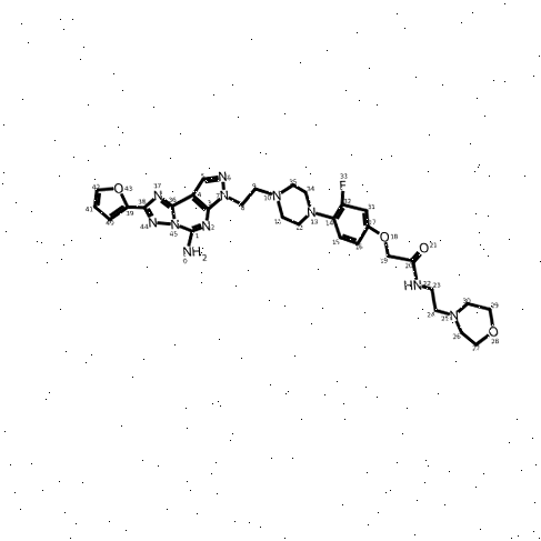 Nc1nc2c(cnn2CCN2CCN(c3ccc(OCC(=O)NCCN4CCOCC4)cc3F)CC2)c2nc(-c3ccco3)nn12